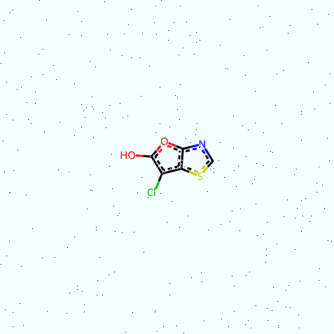 Oc1oc2ncsc2c1Cl